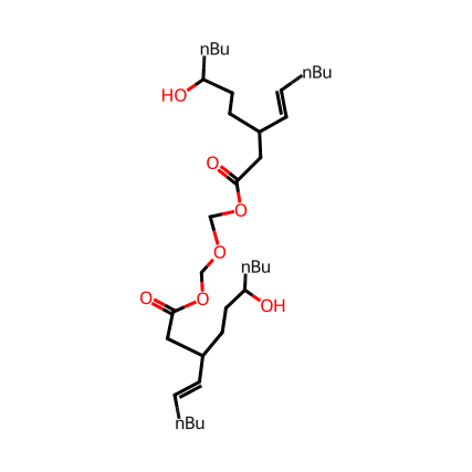 CCCCC=CC(CCC(O)CCCC)CC(=O)OCOCOC(=O)CC(C=CCCCC)CCC(O)CCCC